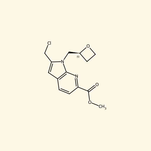 COC(=O)c1ccc2cc(CCl)n(C[C@@H]3CCO3)c2n1